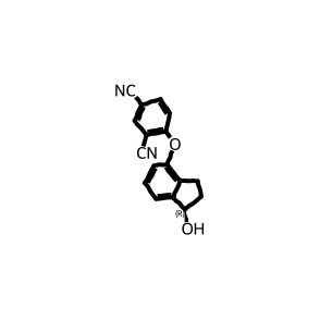 N#Cc1ccc(Oc2cccc3c2CC[C@H]3O)c(C#N)c1